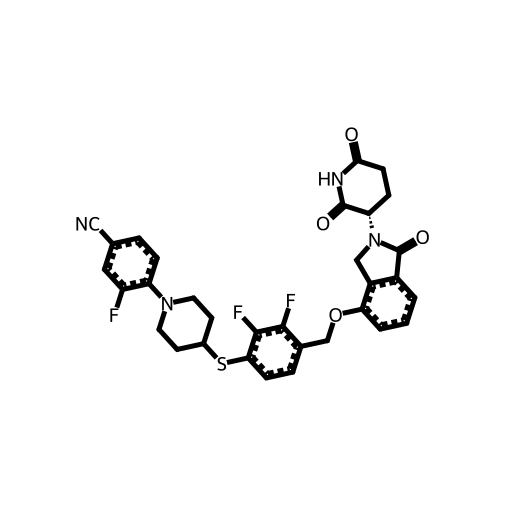 N#Cc1ccc(N2CCC(Sc3ccc(COc4cccc5c4CN([C@H]4CCC(=O)NC4=O)C5=O)c(F)c3F)CC2)c(F)c1